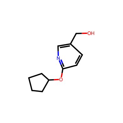 OCc1ccc(OC2CCCC2)nc1